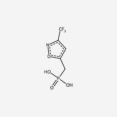 O=P(O)(O)Cc1cc(C(F)(F)F)no1